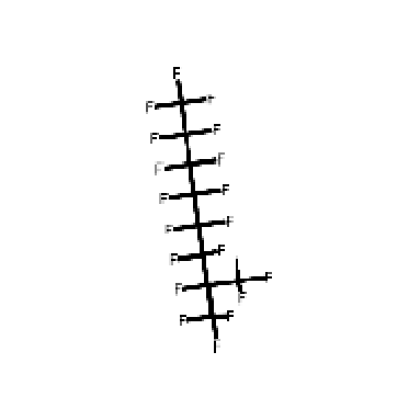 FC(F)(F)C(F)(F)C(F)(F)C(F)(F)C(F)(F)C(F)(F)C(F)(C(F)(F)F)C(F)(F)I